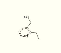 CCc1ncccc1CO